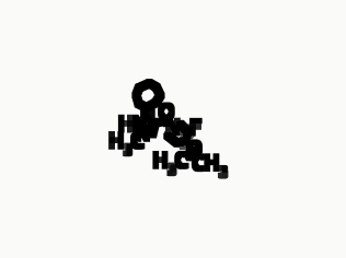 CC(C)O[C@H]1CCN(C(=O)C2CN(C)NN2C2CCCCCCC2)C[C@H]1F